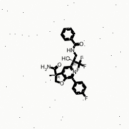 C[C@]1(C(N)=O)COc2c1cc([C@@](O)(CNC(=O)c1ccccc1)C(F)(F)F)nc2-c1ccc(F)cc1